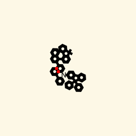 CC1(C)c2ccccc2-c2c(-c3c(-c4ccc(N(c5ccc6c(c5)C(c5ccccc5)(c5ccccc5)c5ccccc5-6)c5ccccc5-c5ccccc5)cc4)ccc4ccccc34)cccc21